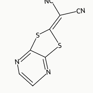 N#CC(C#N)=C1Sc2nccnc2S1